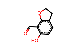 O=Cc1c(O)ccc2c1OCC2